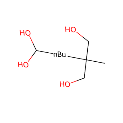 CC(C)(CO)CO.CCCCC(O)O